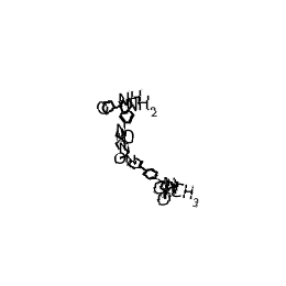 Cn1nc(-c2ccc(C3=CCN(C(=O)CN4CC[C@]5(CCN(c6ccc(N)c(C(=N)C7CCOCC7)c6)C5=O)C4)CC3)cc2)oc1=O